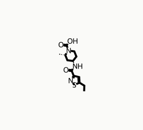 CCc1cc(C(=O)N[C@H]2CCN(C(=O)O)[C@@H](C)C2)ns1